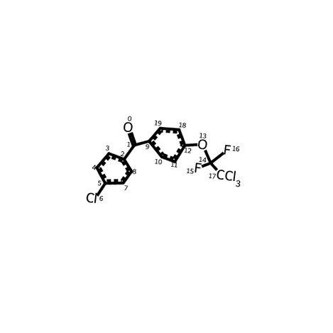 O=C(c1ccc(Cl)cc1)c1ccc(OC(F)(F)C(Cl)(Cl)Cl)cc1